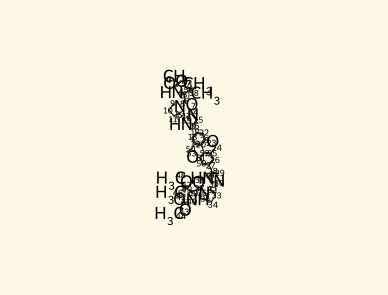 COC(=O)N[C@H](C(=O)N1CCC[C@H]1c1ncc(-c2cc3c4c(c2)OCc2cc(-c5cnc([C@@H]6CCCN6C(=O)[C@@H](NC(=O)OC)[C@@H](C)OC)[nH]5)cc(c2-4)OC3)[nH]1)C(C)C